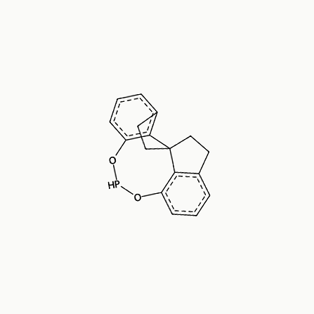 c1cc2c3c(c1)OPOc1cccc4c1C3(CC2)CC4